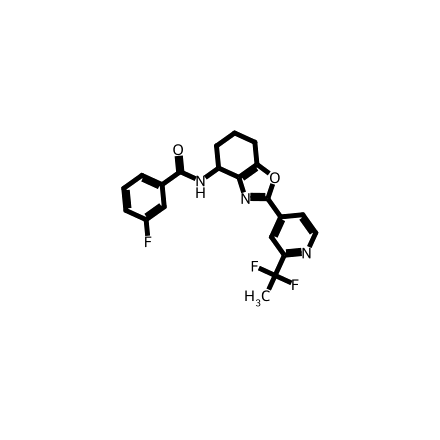 CC(F)(F)c1cc(-c2nc3c(o2)CCCC3NC(=O)c2cccc(F)c2)ccn1